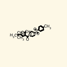 Cc1ccc(S(=O)(=O)N2CCN(C(=O)c3cc(C(C)(C)C)oc3C)CC2)cc1